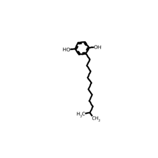 CC(C)CCCCCCCCCc1cc(O)ccc1O